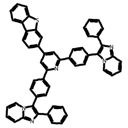 c1ccc(-c2nc3ccccn3c2-c2ccc(-c3cc(-c4ccc5c(c4)sc4ccccc45)cc(-c4ccc(-c5c(-c6ccccc6)nc6ccccn56)cc4)n3)cc2)cc1